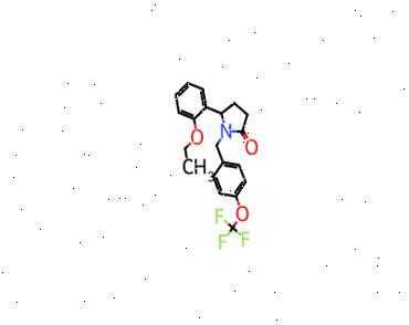 CCOc1ccccc1C1CCC(=O)N1Cc1ccc(OC(F)(F)F)cc1